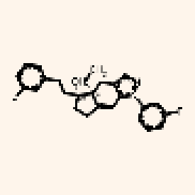 CC[C@]12Cc3cnn(-c4cccc(F)c4)c3C=C1CC[C@@]2(O)CCc1cccc(F)c1